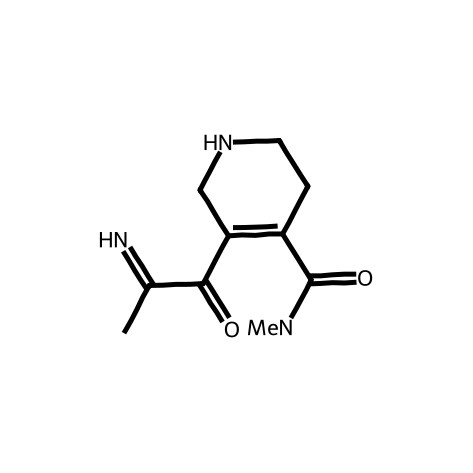 CNC(=O)C1=C(C(=O)C(C)=N)CNCC1